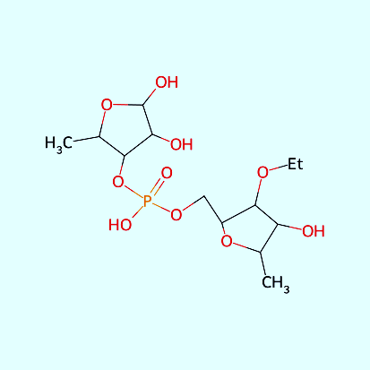 CCOC1C(COP(=O)(O)OC2C(C)OC(O)C2O)OC(C)C1O